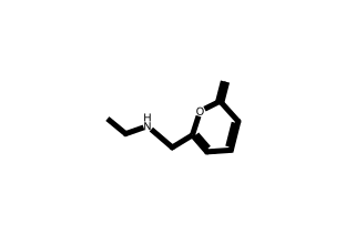 C=C1C=CC=C(CNCC)O1